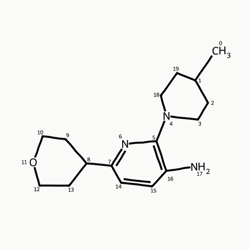 CC1CCN(c2nc(C3CCOCC3)ccc2N)CC1